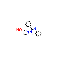 O[C@H]1CCN(N2Cc3ccccc3N=C2c2ccccc2)C1